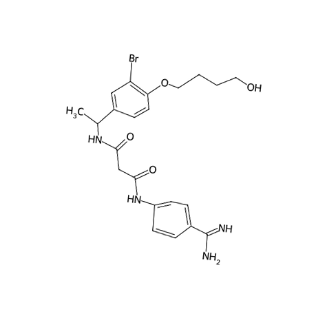 CC(NC(=O)CC(=O)Nc1ccc(C(=N)N)cc1)c1ccc(OCCCCO)c(Br)c1